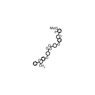 COc1cccc(C2CCc3cc(OC4CCC(C(=O)OC(=O)C5CCC(Oc6ccc7c(c6)CC(C)C(c6ccccc6)O7)CC5)CC4)ccc3O2)c1F